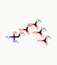 CC(=O)O.CC(=O)O.CC(=O)O.CC(=O)O.CCC(N)(N)O